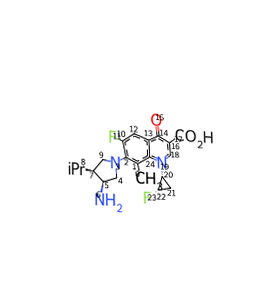 Cc1c(N2C[C@@H](N)[C@@H](C(C)C)C2)c(F)cc2c(=O)c(C(=O)O)cn([C@@H]3C[C@@H]3F)c12